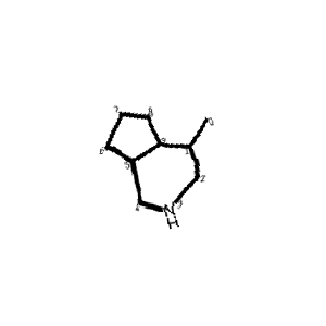 CC1CNCC2CCCC12